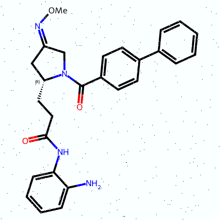 CON=C1C[C@@H](CCC(=O)Nc2ccccc2N)N(C(=O)c2ccc(-c3ccccc3)cc2)C1